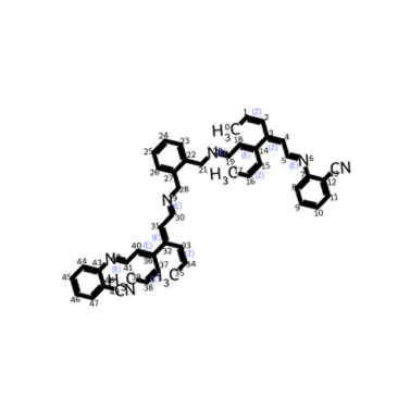 C\C=C/C(=C/C=N/c1ccccc1C#N)C(/C=C\C)=C/C=N/Cc1ccccc1C/N=C/C=C(\C=C/C)C(/C=C\C)=C/C=N/c1ccccc1C#N